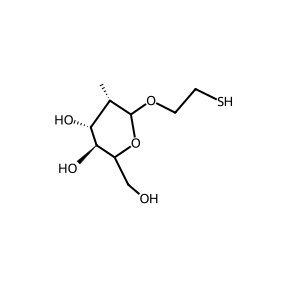 C[C@@H]1C(OCCS)OC(CO)[C@@H](O)[C@@H]1O